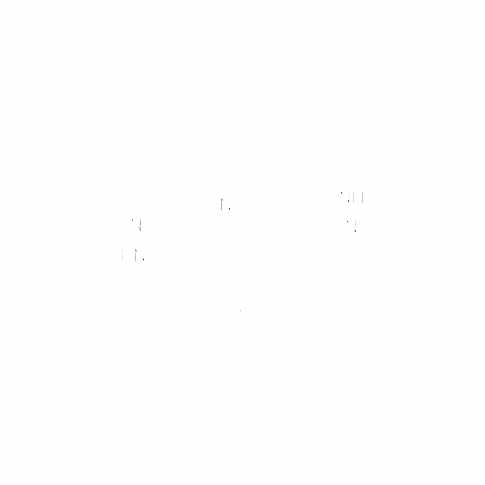 c1n[nH]cc1-c1nc2ccc3[nH]ncc3c2c2c1CSCC2